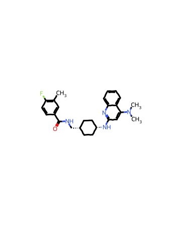 Cc1cc(C(=O)NC[C@H]2CC[C@@H](Nc3cc(N(C)C)c4ccccc4n3)CC2)ccc1F